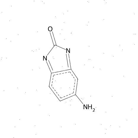 Nc1ccc2c(c1)=NC(=O)N=2